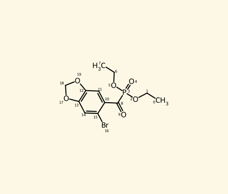 CCOP(=O)(OCC)C(=O)c1cc2c(cc1Br)OCO2